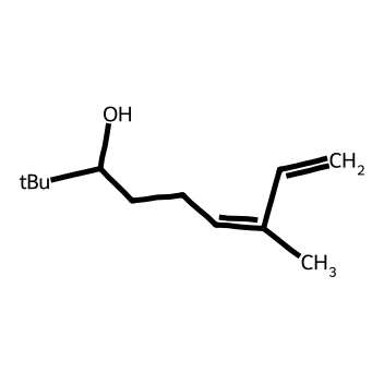 C=CC(C)=CCCC(O)C(C)(C)C